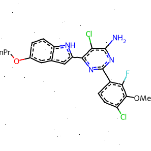 CCCOc1ccc2[nH]c(-c3nc(-c4ccc(Cl)c(OC)c4F)nc(N)c3Cl)cc2c1